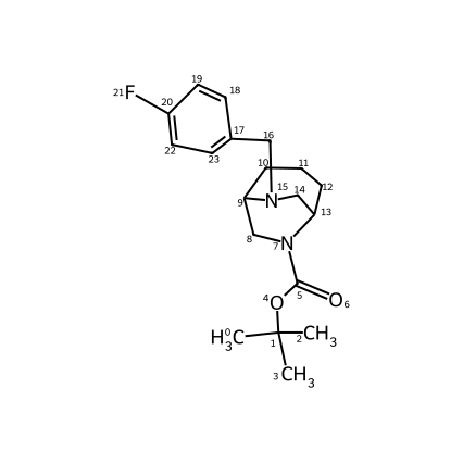 CC(C)(C)OC(=O)N1CC2CCCC1CN2Cc1ccc(F)cc1